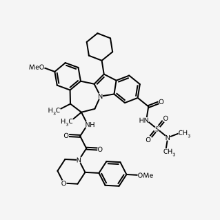 COc1ccc(C2COCCN2C(=O)C(=O)NC2(C)Cn3c(c(C4CCCCC4)c4ccc(C(=O)NS(=O)(=O)N(C)C)cc43)-c3ccc(OC)cc3C2C)cc1